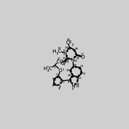 CC(Oc1ccsc1-c1nsc2ccc(-n3c(=O)cc(C(F)(F)F)n(C)c3=O)cc12)C(=O)O